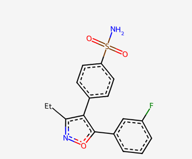 CCc1noc(-c2cccc(F)c2)c1-c1ccc(S(N)(=O)=O)cc1